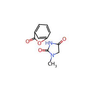 CN1CC(=O)NC1=O.O=C1Oc2cccc1c2